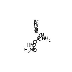 CC(=O)N1CCC(n2cc(-c3cnc(N)c4oc(-c5ccc6[nH]c(C(N)=O)cc6c5)cc34)cn2)CC1